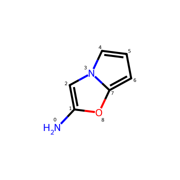 Nc1cn2cccc2o1